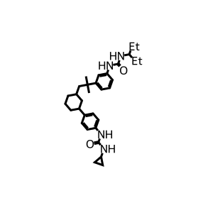 CCC(CC)NC(=O)Nc1cccc(C(C)(C)CC2CCCC(c3ccc(NC(=O)NC4CC4)cc3)C2)c1